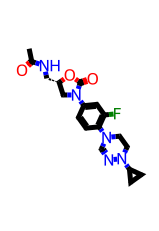 CC(=O)NC[C@H]1CN(c2ccc(N3C=NN(C4CC4)CC3)c(F)c2)C(=O)O1